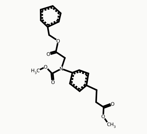 COC(=O)CCc1ccc(N(CC(=O)OCc2ccccc2)C(=O)OC)cc1